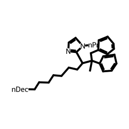 CCCCCCCCCCCCCCCCCC(c1nccn1CCC)C(C)(Cc1ccccc1)c1ccccc1